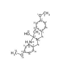 COc1ccc(CN(Cc2ccc(OC)cc2)C(C)(N)O)cc1